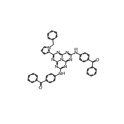 O=C(c1ccccc1)c1ccc(NC2=NC3=NC(Nc4ccc(C(=O)c5ccccc5)cc4)=NC4=NC(c5cccn5Cc5ccccc5)=NC(=N2)N34)cc1